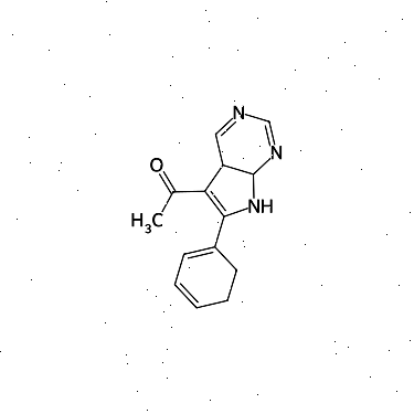 CC(=O)C1=C(C2=CC=CCC2)NC2N=CN=CC12